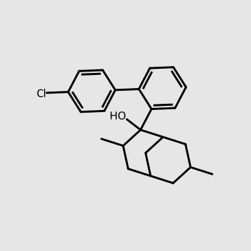 CC1CC2CC(C)C(O)(c3ccccc3-c3ccc(Cl)cc3)C(C1)C2